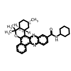 C[C@H]1CC[C@H]2[C@H](C1)c1c(c3ccccc3c3nc4ccc(C(=O)NC5CCCCC5)cc4nc13)OC2(C)C